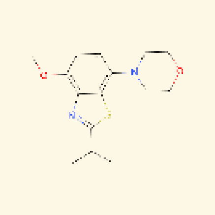 COc1ccc(N2CCOCC2)c2sc(C(C)C)nc12